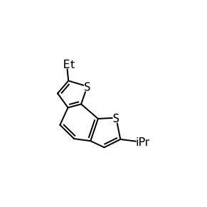 CCc1cc2ccc3cc(C(C)C)sc3c2s1